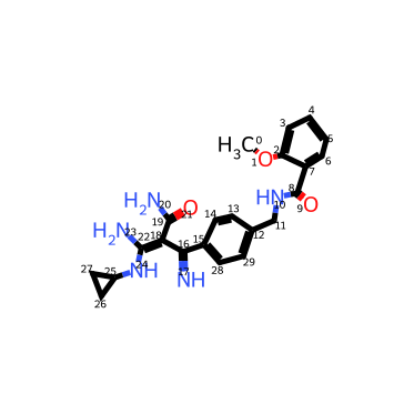 COc1ccccc1C(=O)NCc1ccc(C(=N)/C(C(N)=O)=C(/N)NC2CC2)cc1